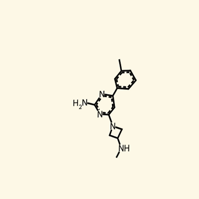 CNC1CN(c2cc(-c3cccc(C)c3)nc(N)n2)C1